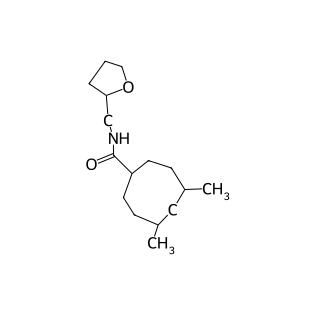 CC1CCC(C(=O)NCC2CCCO2)CCC(C)C1